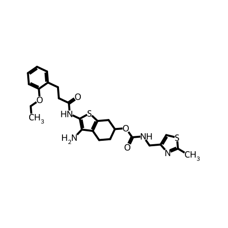 CCOc1ccccc1CCC(=O)Nc1sc2c(c1N)CCC(OC(=O)NCc1csc(C)n1)C2